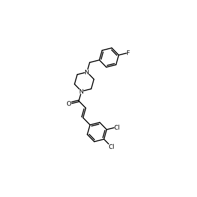 O=C(C=Cc1ccc(Cl)c(Cl)c1)N1CCN(Cc2ccc(F)cc2)CC1